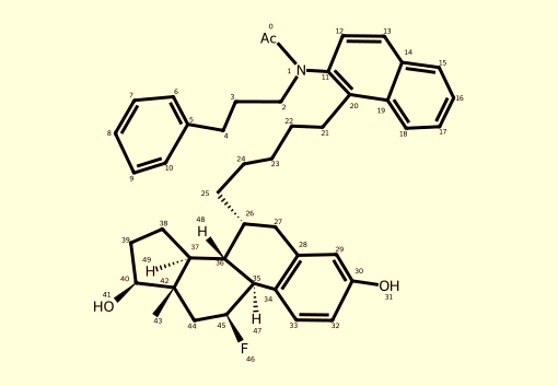 CC(=O)N(CCCc1ccccc1)c1ccc2ccccc2c1CCCCC[C@@H]1Cc2cc(O)ccc2[C@@H]2[C@@H]1[C@@H]1CC[C@H](O)[C@@]1(C)C[C@@H]2F